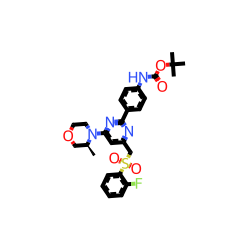 C[C@H]1COCCN1c1cc(CS(=O)(=O)c2ccccc2F)nc(-c2ccc(NC(=O)OC(C)(C)C)cc2)n1